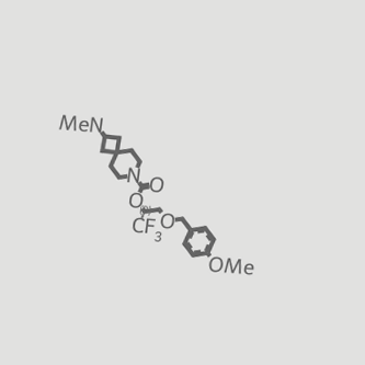 CNC1CC2(CCN(C(=O)O[C@H](COCc3ccc(OC)cc3)C(F)(F)F)CC2)C1